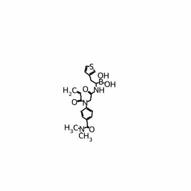 C=CC(=O)N(CC(=O)NC(Cc1ccsc1)B(O)O)c1ccc(C(=O)N(C)C)cc1